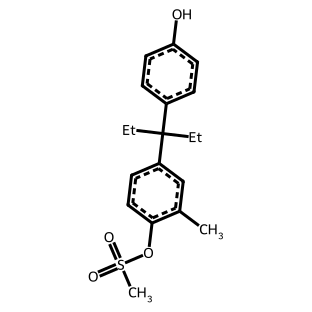 CCC(CC)(c1ccc(O)cc1)c1ccc(OS(C)(=O)=O)c(C)c1